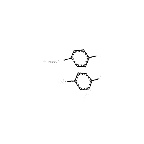 CCCCCCCCc1ccc([O-])cc1.CCCCCCCCc1ccc([O-])cc1.CCCCN.[Ni+2]